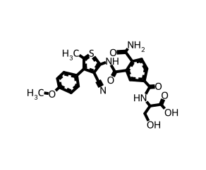 COc1ccc(-c2c(C)sc(NC(=O)c3cc(C(=O)NC(CO)C(=O)O)ccc3C(N)=O)c2C#N)cc1